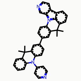 CC1(C)c2ccccc2N(c2ccncc2)c2ccc(-c3ccc4c(c3)C(C)(C)c3cccc5c6ccncc6n-4c35)cc21